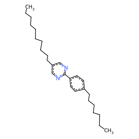 CCCCCCCCCCc1cnc(-c2ccc(CCCCCCC)cc2)nc1